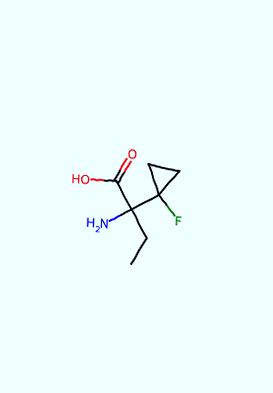 CCC(N)(C(=O)O)C1(F)CC1